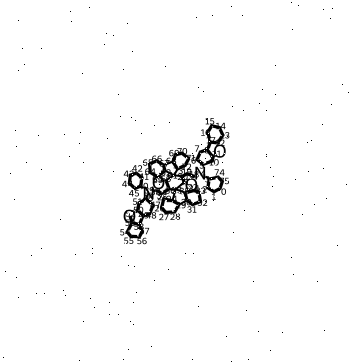 c1ccc(N(c2ccc3c(c2)oc2ccccc23)c2cc3c(o2)C2(c4ccccc4-c4ccccc42)c2cc(N(c4ccccc4)c4ccc5c(c4)oc4ccccc45)oc2C32c3ccccc3-c3ccccc32)cc1